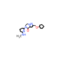 CNc1cccc(N2CCn3nc(COc4ccccc4)cc3C2=O)n1